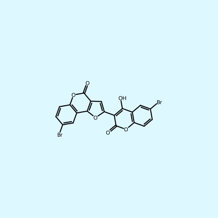 O=c1oc2ccc(Br)cc2c(O)c1-c1cc2c(=O)oc3ccc(Br)cc3c2o1